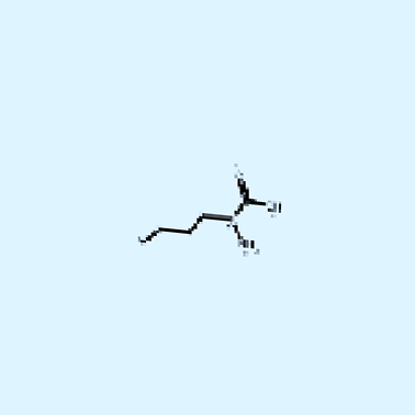 CCCCP(N)C(=O)O